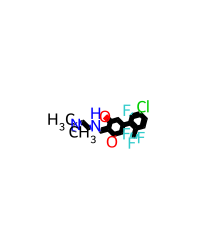 CN(C)CCNC=C1C(=O)CC(c2c(C(F)(F)F)ccc(Cl)c2F)CC1=O